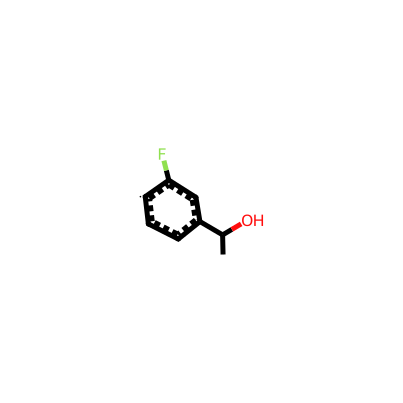 CC(O)c1cc[c]c(F)c1